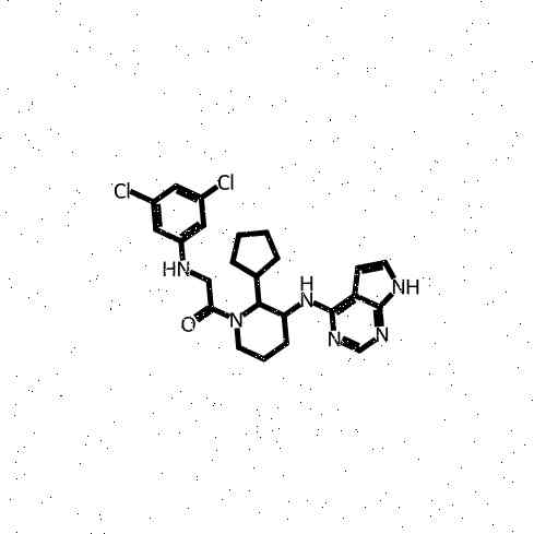 O=C(CNc1cc(Cl)cc(Cl)c1)N1CCCC(Nc2ncnc3[nH]ccc23)C1C1CCCC1